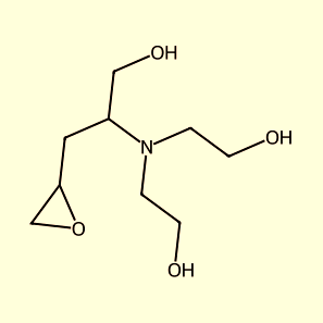 OCCN(CCO)C(CO)CC1CO1